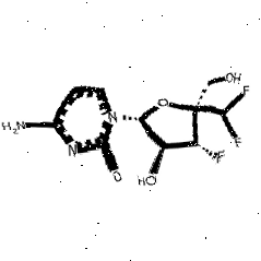 Nc1ccn([C@@H]2O[C@@](CO)(C(F)F)[C@H](F)[C@H]2O)c(=O)n1